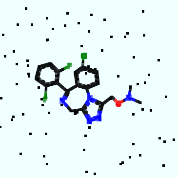 CN(C)OCc1nnc2n1-c1ccc(Cl)cc1C(c1c(F)cccc1F)=NC2